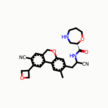 Cc1cc2c(cc1CC(C#N)NC(=O)[C@@H]1CNCCCO1)OCc1cc(C#N)c(C3COC3)cc1-2